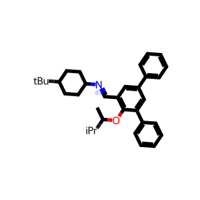 CC(C)C(C)Oc1c(/C=N/C2CCC(C(C)(C)C)CC2)cc(-c2ccccc2)cc1-c1ccccc1